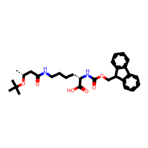 C[C@H](CC(=O)NCCCC[C@H](NC(=O)OCC1c2ccccc2-c2ccccc21)C(=O)O)OC(C)(C)C